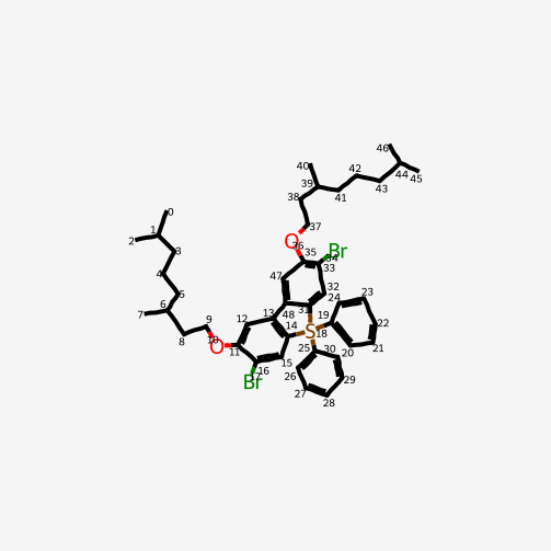 CC(C)CCCC(C)CCOc1cc2c(cc1Br)S(c1ccccc1)(c1ccccc1)c1cc(Br)c(OCCC(C)CCCC(C)C)cc1-2